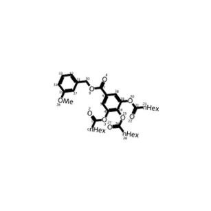 CCCCCCC(=O)Oc1cc(C(=O)OCc2cccc(OC)c2)cc(OC(=O)CCCCCC)c1OC(=O)CCCCCC